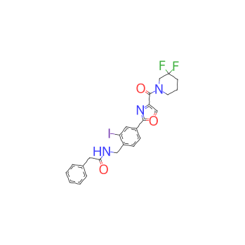 O=C(Cc1ccccc1)NCc1ccc(-c2nc(C(=O)N3CCCC(F)(F)C3)co2)cc1I